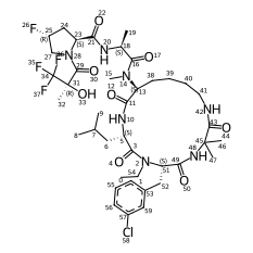 CCN1C(=O)[C@H](CC(C)C)NC(=O)[C@@H](N(C)C(=O)[C@H](C)NC(=O)[C@@H]2C[C@@H](F)CN2C(=O)[C@@](C)(O)C(F)(F)F)CCCCNC(=O)C(C)(C)NC(=O)[C@@H]1Cc1cccc(Cl)c1